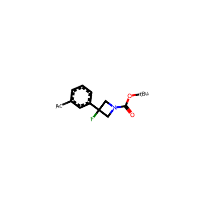 CC(=O)c1cccc(C2(F)CN(C(=O)OC(C)(C)C)C2)c1